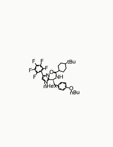 CCCCCCn1cc(-c2c(F)c(F)c(F)c(F)c2F)nc1[C@H](Cc1ccc(OCCCC)cc1)NC(=O)C1CCC(C(C)(C)C)CC1